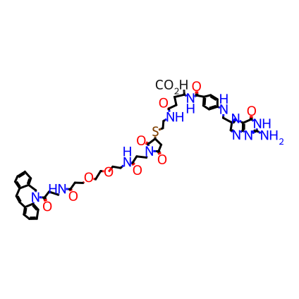 Nc1nc2ncc(CNc3ccc(C(=O)NC(CCC(=O)NCCSC4CC(=O)N(CCC(=O)NCCOCCOCCC(=O)NCCC(=O)N5Cc6ccccc6/C=C\c6ccccc65)C4=O)C(=O)O)cc3)nc2c(=O)[nH]1